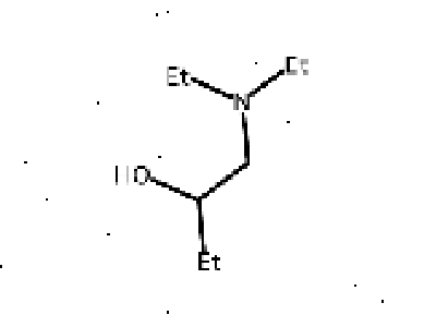 [CH2]CC(O)CN(CC)CC